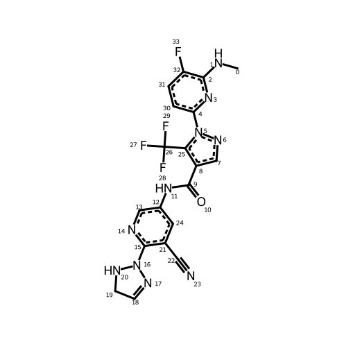 CNc1nc(-n2ncc(C(=O)Nc3cnc(N4N=CCN4)c(C#N)c3)c2C(F)(F)F)ccc1F